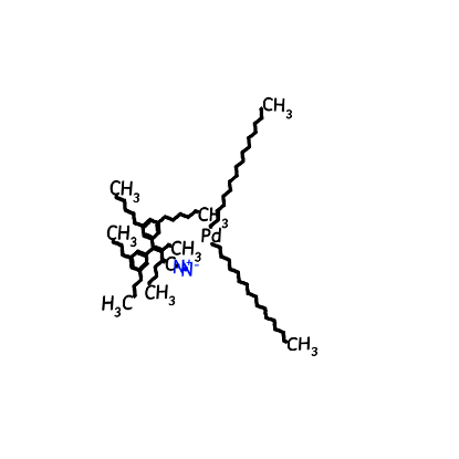 CCCCCCCCCCCCCCCCC[CH2][Pd][CH2]CCCCCCCCCCCCCCCCC.CCCCCCc1cc(CCCCCC)cc(C(=C(CC)C(=C=[N+]=[N-])CCCC)c2cc(CCCC)cc(CCCC)c2)c1